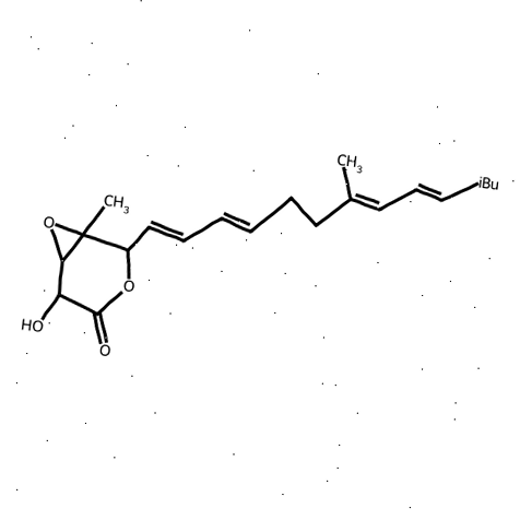 CCC(C)/C=C/C=C(\C)CC/C=C/C=C/C1OC(=O)C(O)C2OC12C